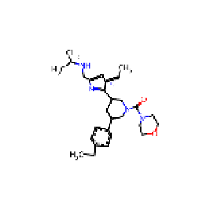 C/C=C1\C=C(CNC(C)C)N=C1C1CC(c2ccc(CC)cc2)CN(C(=O)N2CCOCC2)C1